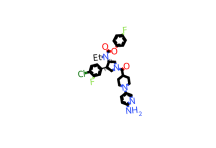 CCN(C(=O)Oc1ccc(F)cc1)[C@@H]1CN(C(=O)C2CCN(c3ccc(N)nc3)CC2)C[C@H]1c1ccc(Cl)c(F)c1